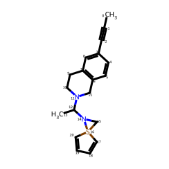 CC#Cc1ccc2c(c1)CCN(C(C)N1CS13C=CC=C3)C2